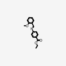 CCOC(=O)c1ccc(/N=C/c2ccccc2OC)cc1